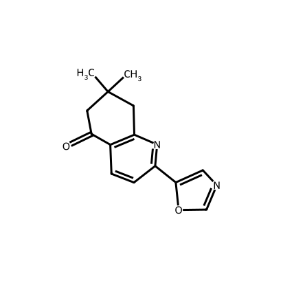 CC1(C)CC(=O)c2ccc(-c3cnco3)nc2C1